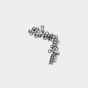 O.O.O.O.O=S(=O)(O)O.O=S(=O)(O)O.O=S(=O)(O)O.[Al+3].[Al+3].[Al+3].[Al+3].[Al+3].[O-2].[O-2].[O-2]